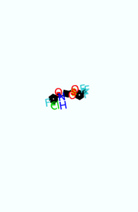 O=C(N[C@H]1C[C@H](CS(=O)(=O)c2cccc(C(F)(F)F)c2)C1)c1ccc(F)c(Cl)c1